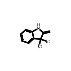 C=C1Nc2ccccc2C1(CC)CC